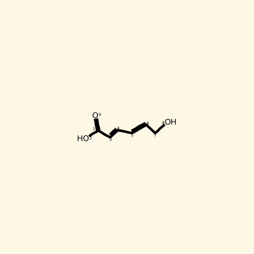 O=C(O)C=CC=CCO